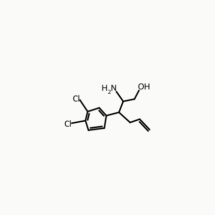 C=CCC(c1ccc(Cl)c(Cl)c1)C(N)CO